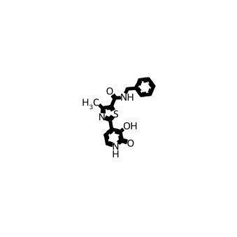 Cc1nc(-c2cc[nH]c(=O)c2O)sc1C(=O)NCc1ccccc1